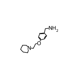 NCc1ccc(OCCN2CCCCC2)cc1